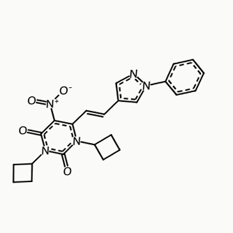 O=c1c([N+](=O)[O-])c(/C=C/c2cnn(-c3ccccc3)c2)n(C2CCC2)c(=O)n1C1CCC1